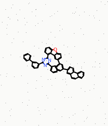 c1ccc(-c2cccc(-c3nc(-c4ccccc4)nc(-c4cccc5oc6ccc(-c7cccc(-c8ccc9c(ccc%10ccccc%109)c8)c7)cc6c45)n3)c2)cc1